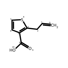 C=CCc1sccc1C(=O)O